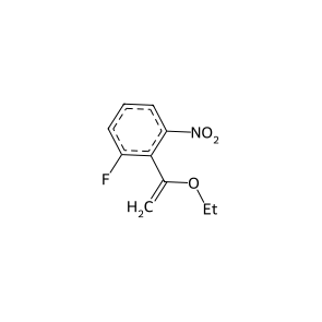 C=C(OCC)c1c(F)cccc1[N+](=O)[O-]